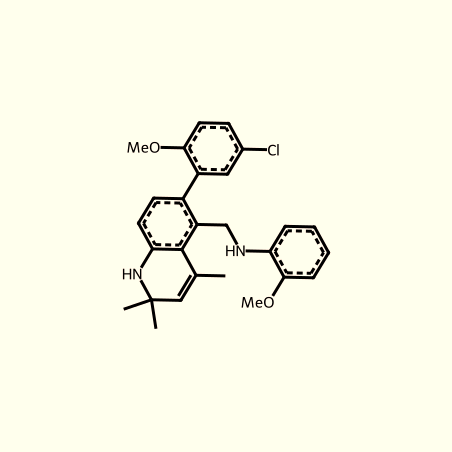 COc1ccccc1NCc1c(-c2cc(Cl)ccc2OC)ccc2c1C(C)=CC(C)(C)N2